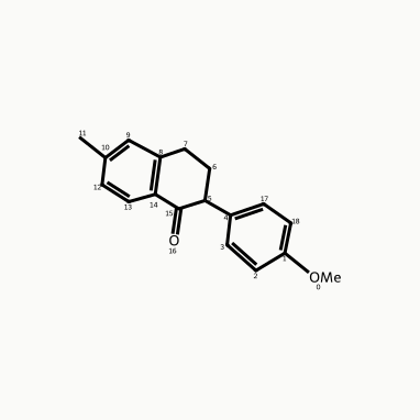 COc1ccc(C2CCc3cc(C)ccc3C2=O)cc1